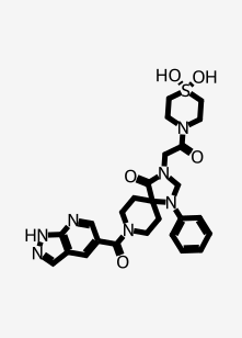 O=C(CN1CN(c2ccccc2)C2(CCN(C(=O)c3cnc4[nH]ncc4c3)CC2)C1=O)N1CCS(O)(O)CC1